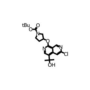 CC(C)(C)OC(=O)N1CCC(Oc2ncc(C(C)(C)O)c3cc(Cl)ncc23)C1